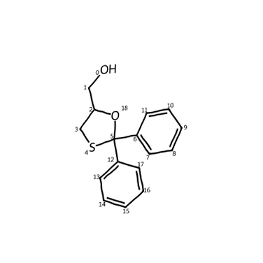 OCC1CSC(c2ccccc2)(c2ccccc2)O1